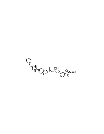 CNS(=O)(=O)c1cccc(OC[C@@H](O)CN[C@H]2COC3(CCN(c4ncc(Cc5ccccc5)cn4)CC3)C2)c1